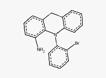 Nc1cccc2c1N(c1ccccc1Br)c1ccccc1C2